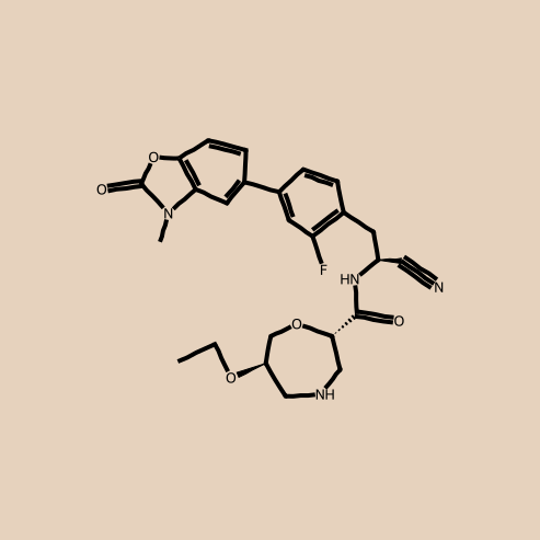 CCO[C@@H]1CNC[C@@H](C(=O)N[C@H](C#N)Cc2ccc(-c3ccc4oc(=O)n(C)c4c3)cc2F)OC1